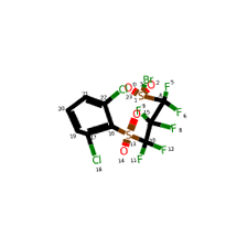 O=S(=O)(Br)C(F)(F)C(F)(F)C(F)(F)S(=O)(=O)c1c(Cl)cccc1Cl